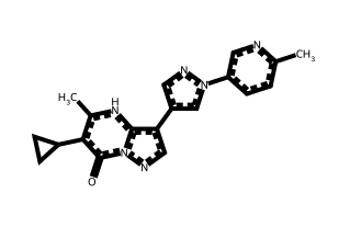 Cc1ccc(-n2cc(-c3cnn4c(=O)c(C5CC5)c(C)[nH]c34)cn2)cn1